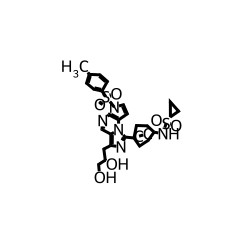 Cc1ccc(S(=O)(=O)n2ccc3c2ncc2c(CC(O)CO)nc(C45CCC(NS(=O)(=O)C6CC6)(CC4)CC5)n23)cc1